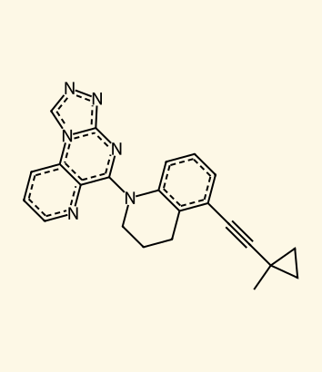 CC1(C#Cc2cccc3c2CCCN3c2nc3nncn3c3cccnc23)CC1